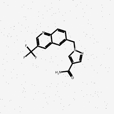 NC(=O)c1cnn(Cc2ccc3ncc(C(F)(F)F)cc3c2)c1